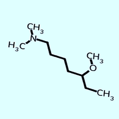 CCC(CCCCN(C)C)OC